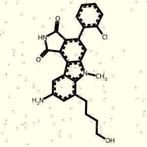 Cn1c2cc(-c3ccccc3Cl)c3c(c2c2cc(N)cc(CCCCO)c21)C(=O)NC3=O